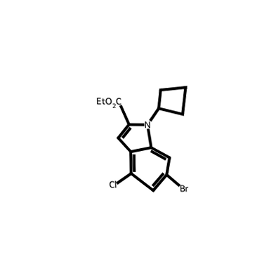 CCOC(=O)c1cc2c(Cl)cc(Br)cc2n1C1CCC1